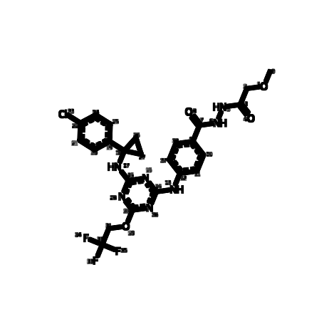 COCC(=O)NNC(=O)c1ccc(Nc2nc(NC3(c4ccc(Cl)cc4)CC3)nc(OCC(F)(F)F)n2)cc1